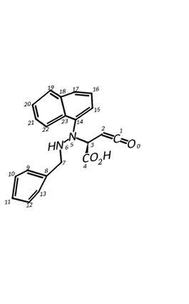 O=C=C[C@@H](C(=O)O)N(NCc1ccccc1)c1cccc2ccccc12